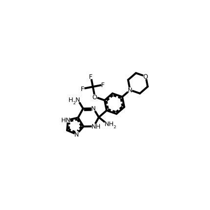 NC1=NC(N)(c2ccc(N3CCOCC3)cc2OC(F)(F)F)Nc2nc[nH]c21